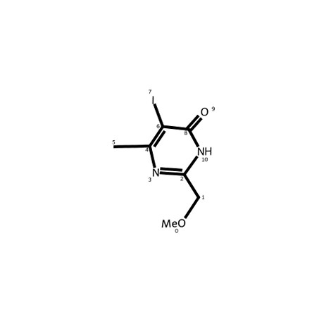 COCc1nc(C)c(I)c(=O)[nH]1